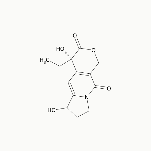 CC[C@@]1(O)C(=O)OCc2c1cc1n(c2=O)CCC1O